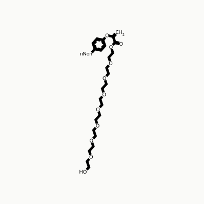 C=C(Oc1ccc(CCCCCCCCC)cc1)C(=O)OCCOCCOCCOCCOCCOCCOCCOCCO